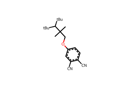 CC(C)(C)C(C(C)(C)C)C(C)(C)COc1ccc(C#N)c(C#N)c1